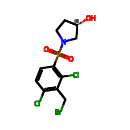 O=S(=O)(c1ccc(Cl)c(CBr)c1Cl)N1CC[C@H](O)C1